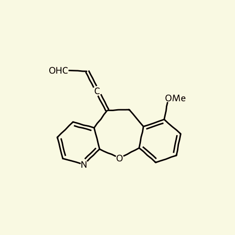 COc1cccc2c1CC(=C=CC=O)c1cccnc1O2